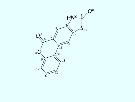 O=c1[nH]c2cc3c(=O)oc4ccccc4c3cc2s1